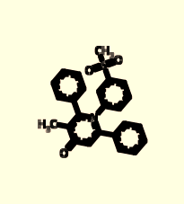 Cc1c(-c2ccccc2)n(-c2cccc(S(C)(=O)=O)c2)c(-c2ccccc2)cc1=O